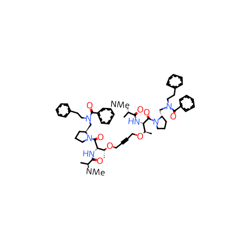 CN[C@@H](C)C(=O)N[C@H](C(=O)N1CCC[C@H]1CN(CCc1ccccc1)C(=O)c1ccccc1)[C@@H](C)OCC#CCO[C@H](C)[C@H](NC(=O)[C@H](C)NC)C(=O)N1CCC[C@H]1CN(CCc1ccccc1)C(=O)c1ccccc1